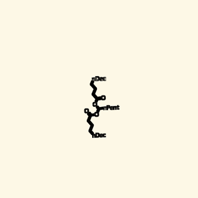 CCCCCCCCCCCCCC(=O)OC(CCCCC)OC(=O)CCCCCCCCCCCCC